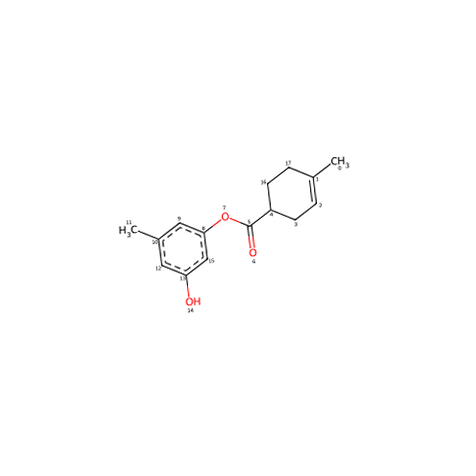 CC1=CCC(C(=O)Oc2cc(C)cc(O)c2)CC1